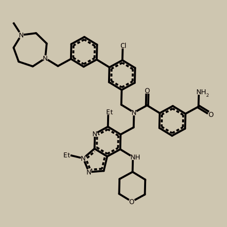 CCc1nc2c(cnn2CC)c(NC2CCOCC2)c1CN(Cc1ccc(Cl)c(-c2cccc(CN3CCCN(C)CC3)c2)c1)C(=O)c1cccc(C(N)=O)c1